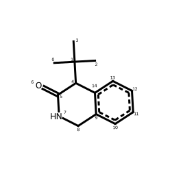 CC(C)(C)C1C(=O)NCc2ccccc21